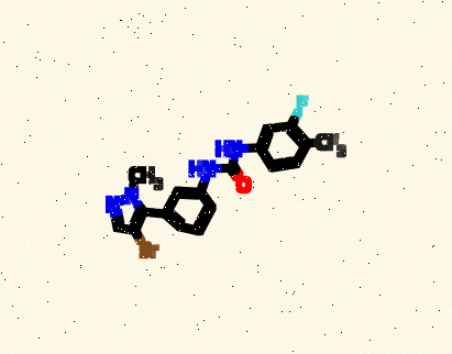 Cn1ncc(Br)c1-c1cccc(NC(=O)Nc2ccc(C(F)(F)F)c(F)c2)c1